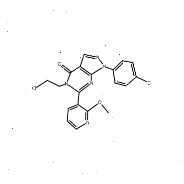 COc1ncccc1-c1nc2c(cnn2-c2ccc(Cl)cc2)c(=O)n1CCCl